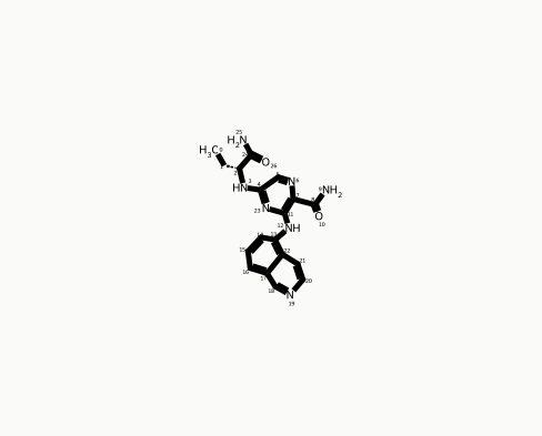 CC[C@@H](Nc1cnc(C(N)=O)c(Nc2cccc3cnccc23)n1)C(N)=O